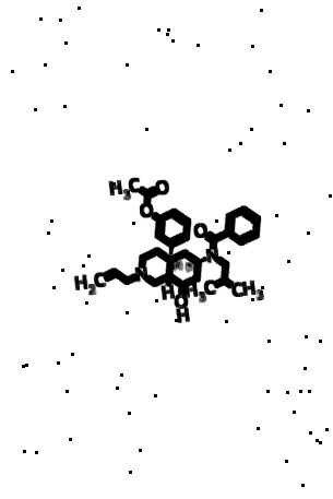 C=CCN1CC[C@@]2(c3cccc(OC(C)=O)c3)C[C@H](N(CC(C)C)C(=O)c3ccccc3)CC(O)[C@@H]2C1